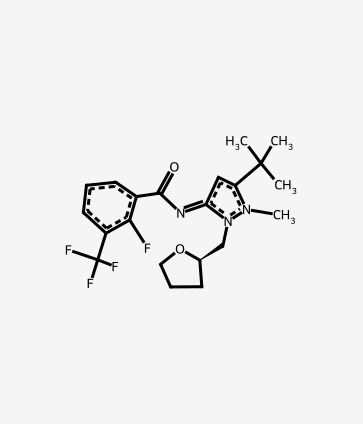 Cn1c(C(C)(C)C)c/c(=N\C(=O)c2cccc(C(F)(F)F)c2F)n1C[C@H]1CCCO1